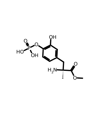 COC(=O)[C@@](C)(N)Cc1ccc(OP(=O)(O)O)c(O)c1